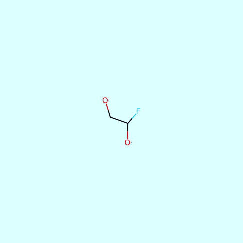 [O]CC([O])F